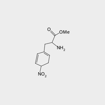 COC(=O)C(N)CC1=CCC([N+](=O)[O-])C=C1